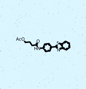 CC(=O)OCCCC(=O)Nc1ccc(-c2nc3ccccc3s2)cc1